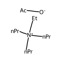 CC(=O)[O-].CCC[N+](CC)(CCC)CCC